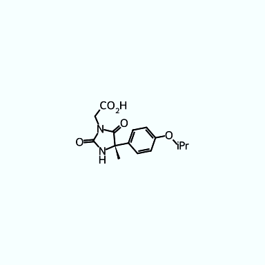 CC(C)Oc1ccc([C@]2(C)NC(=O)N(CC(=O)O)C2=O)cc1